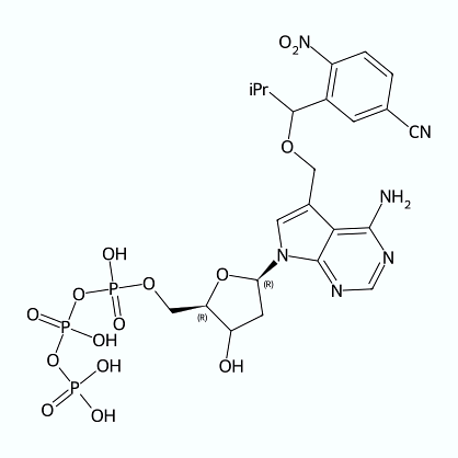 CC(C)C(OCc1cn([C@H]2CC(O)[C@@H](COP(=O)(O)OP(=O)(O)OP(=O)(O)O)O2)c2ncnc(N)c12)c1cc(C#N)ccc1[N+](=O)[O-]